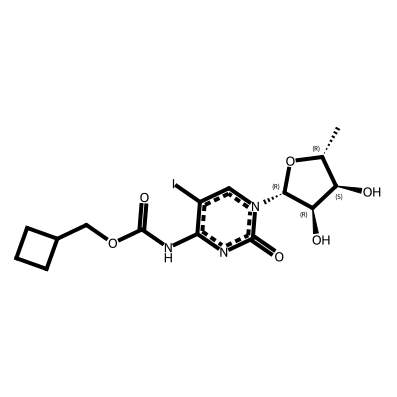 C[C@H]1O[C@@H](n2cc(I)c(NC(=O)OCC3CCC3)nc2=O)[C@H](O)[C@@H]1O